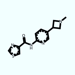 CN1CC(c2ccc(NC(=O)c3cscn3)nc2)C1